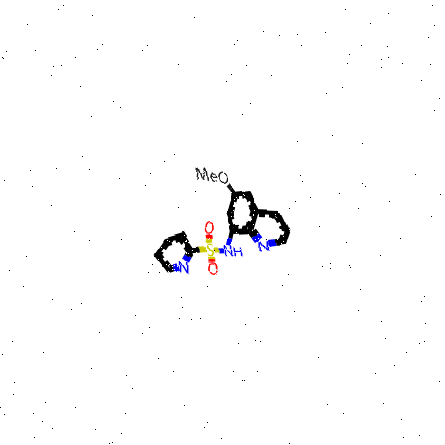 COc1cc(NS(=O)(=O)c2ccccn2)c2ncccc2c1